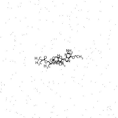 CCOc1nc(N)nc2c1ncn2[C@@H]1O[C@@H]2CO[P@@](=O)(N[C@@H](C)COC(=O)C(C)C)O[C@H]2[C@@]1(C)F